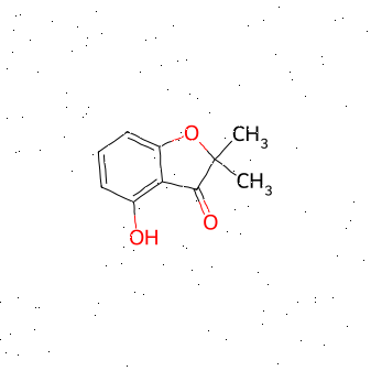 CC1(C)Oc2cccc(O)c2C1=O